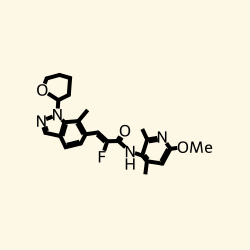 COc1cc(C)c(NC(=O)/C(F)=C/c2ccc3cnn(C4CCCCO4)c3c2C)c(C)n1